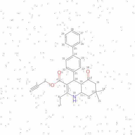 C#CCOC(=O)C1=C(CC)NC2CC(C)(C)CC(=O)C2C1c1ccc(-c2ccccc2)cc1